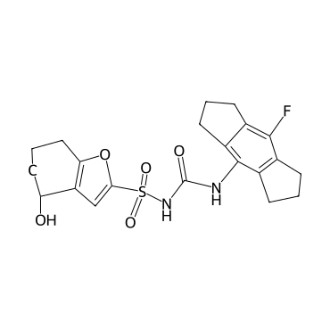 O=C(Nc1c2c(c(F)c3c1CCC3)CCC2)NS(=O)(=O)c1cc2c(o1)CCCC2O